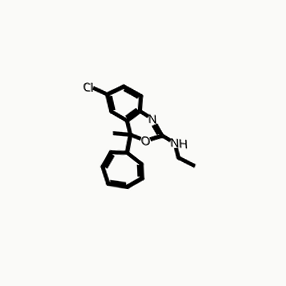 CCNC1=Nc2ccc(Cl)cc2C(C)(C2C=CC=CC=C2)O1